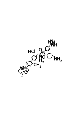 Cc1cc(C(=O)N[C@@H]2CCCNC2=O)ncc1-c1ccc(C[C@H](N)C(=O)N(c2ccc(-c3nnn[nH]3)cc2)C(=O)[C@H]2CC[C@H](CN)CC2)cc1.Cl